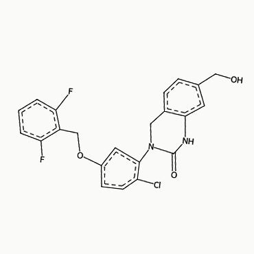 O=C1Nc2cc(CO)ccc2CN1c1cc(OCc2c(F)cccc2F)ccc1Cl